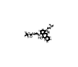 CN(C)CCn1nc2c3c(c(NCCNC(=O)OC(C)(C)C)ccc31)C(=O)c1ncccc1-2